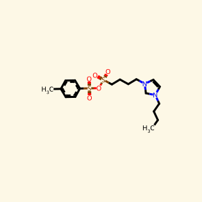 CCCCN1C=CN(CCCCS(=O)(=O)OS(=O)(=O)c2ccc(C)cc2)C1